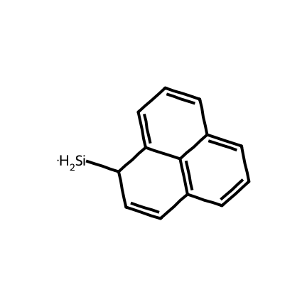 [SiH2]C1C=Cc2cccc3cccc1c23